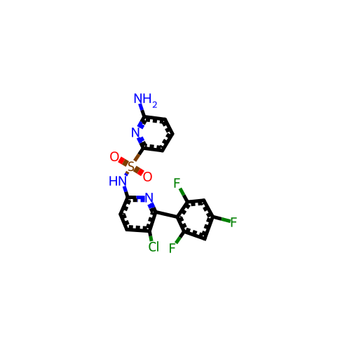 Nc1cccc(S(=O)(=O)Nc2ccc(Cl)c(-c3c(F)cc(F)cc3F)n2)n1